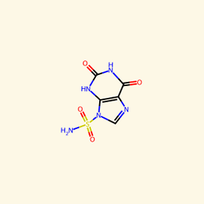 NS(=O)(=O)n1cnc2c(=O)[nH]c(=O)[nH]c21